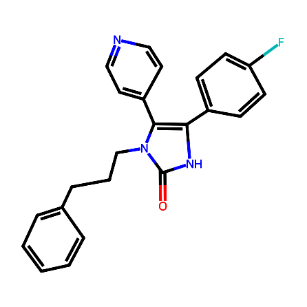 O=c1[nH]c(-c2ccc(F)cc2)c(-c2ccncc2)n1CCCc1ccccc1